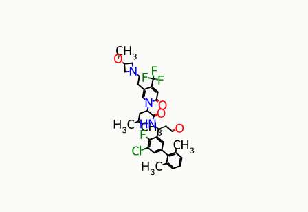 COC1CN(CCc2cn(C(CC(C)C)C(=O)N[C@@H](CC=O)c3cc(-c4c(C)cccc4C)cc(Cl)c3F)c(=O)cc2C(F)(F)F)C1